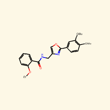 CCOc1ccccc1C(=O)NCc1coc(-c2ccc(OC)c(OCC(C)C)c2)n1